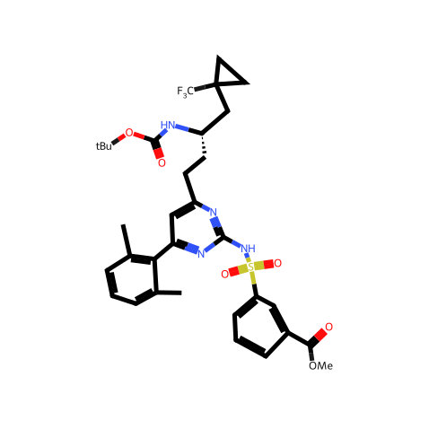 COC(=O)c1cccc(S(=O)(=O)Nc2nc(CC[C@@H](CC3(C(F)(F)F)CC3)NC(=O)OC(C)(C)C)cc(-c3c(C)cccc3C)n2)c1